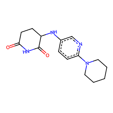 O=C1CCC(Nc2ccc(N3CCCCC3)nc2)C(=O)N1